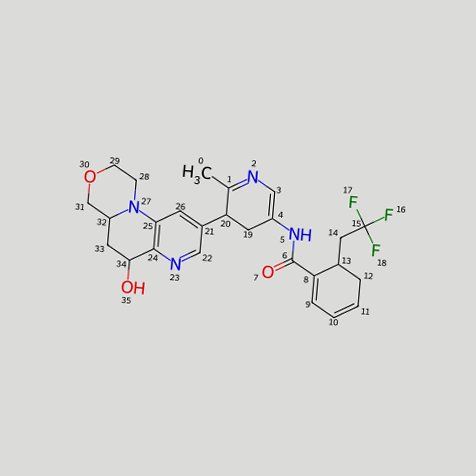 CC1=NC=C(NC(=O)C2=CC=CCC2CC(F)(F)F)CC1c1cnc2c(c1)N1CCOCC1CC2O